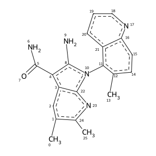 Cc1cc2c(C(N)=O)c(N)n(-c3c(C)ccc4ncccc34)c2nc1C